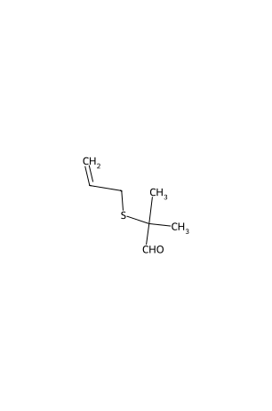 C=CCSC(C)(C)C=O